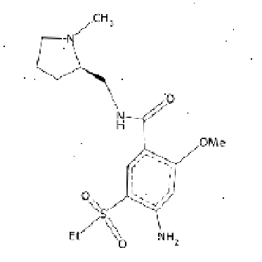 CCS(=O)(=O)c1cc(C(=O)NC[C@H]2CCCN2C)c(OC)cc1N